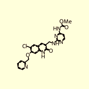 COC(=O)Nc1ccnc(NCc2cc3cc(Cl)c(OCc4ccccn4)cc3[nH]c2=O)n1